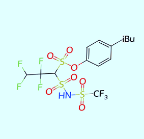 CCC(C)c1ccc(OS(=O)(=O)C(C(F)(F)C(F)F)S(=O)(=O)NS(=O)(=O)C(F)(F)F)cc1